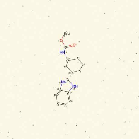 CC(C)(C)OC(=O)N[C@@H]1CCC[C@H](c2nc3ccccc3[nH]2)C1